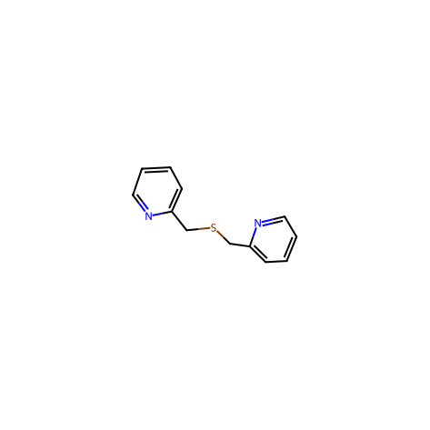 c1ccc(CSCc2ccccn2)nc1